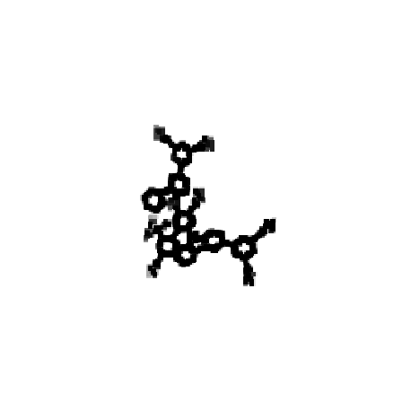 N#Cc1cc(C#N)cc(-c2ccc3c(c2)c2ccccc2n3-c2cc(-c3ccc(C#N)cc3C(F)(F)F)c(-n3c4ccccc4c4cc(-c5cc(C#N)cc(C#N)c5)ccc43)cc2C#N)c1